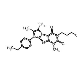 CCc1ccc(-n2c(C)c(C)n3c4c(=O)n(CCCO)c(=O)n(C)c4nc23)cc1